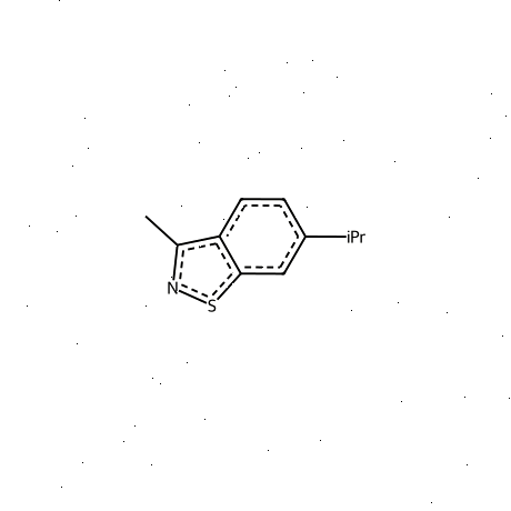 Cc1nsc2cc(C(C)C)ccc12